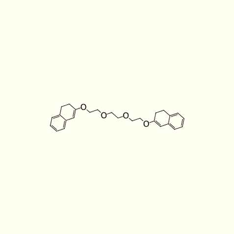 C1=C(OCCOCCOCCOC2=Cc3ccccc3CC2)CCc2ccccc21